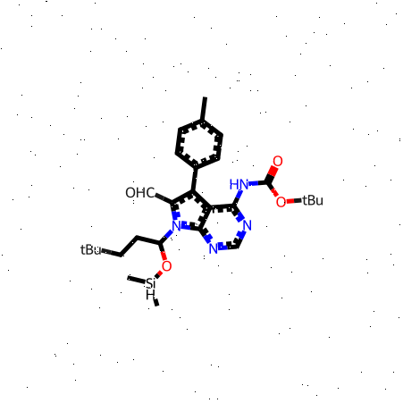 Cc1ccc(-c2c(C=O)n(C(CCC(C)(C)C)O[SiH](C)C)c3ncnc(NC(=O)OC(C)(C)C)c23)cc1